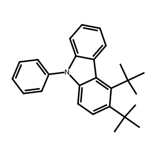 CC(C)(C)c1ccc2c(c1C(C)(C)C)c1ccccc1n2-c1ccccc1